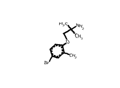 Cc1cc(Br)ccc1OCC(C)(C)N